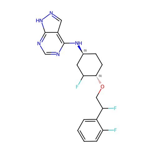 Fc1ccccc1C(F)CO[C@H]1CC[C@H](Nc2ncnc3[nH]ncc23)CC1F